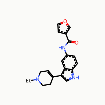 CCN1CC=C(c2c[nH]c3ccc(NC(=O)c4ccoc4)cc23)CC1